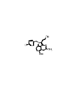 CC1Cc2c(O)ccc3c2c(c(CCO)n3Cc2ccc(Cl)cc2)S1